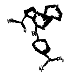 CN(C)c1ccc(Nc2nc3ccncc3n3ccc(C(=O)O)c23)cc1